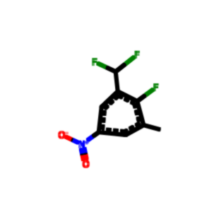 Cc1cc([N+](=O)[O-])cc(C(F)F)c1F